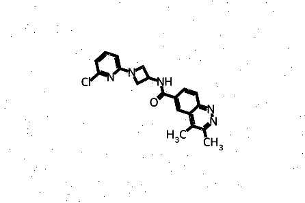 Cc1nnc2ccc(C(=O)NC3CN(c4cccc(Cl)n4)C3)cc2c1C